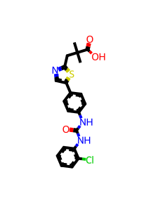 CC(C)(Cc1ncc(-c2ccc(NC(=O)Nc3ccccc3Cl)cc2)s1)C(=O)O